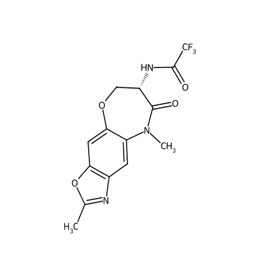 Cc1nc2cc3c(cc2o1)OC[C@H](NC(=O)C(F)(F)F)C(=O)N3C